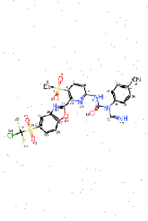 CCS(=O)(=O)c1ccc(NC(=O)N(C=N)c2ccc(C#N)cc2)nc1-c1nc2cc(S(=O)(=O)C(F)(F)Cl)ccc2o1